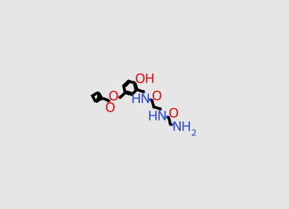 NCC(=O)NCCC(=O)NCc1cc(COC(=O)C2C3CC2C3)ccc1O